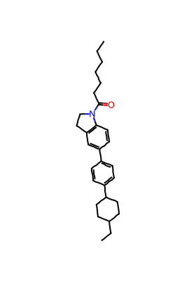 CCCCCCC(=O)N1CCc2cc(-c3ccc(C4CCC(CC)CC4)cc3)ccc21